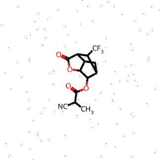 CC(C#N)C(=O)OC1C2CC3C1OC(=O)C3C2C(F)(F)F